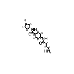 CNC/C=C/C(=O)Nc1ccc(C(=O)N[C@@H]2CC[C@H](C)C2)cc1